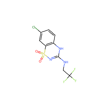 O=S1(=O)N=C(NCC(F)(F)F)Nc2ccc(Cl)cc21